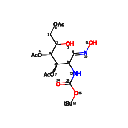 CC(=O)OCC(O)[C@@H](OC(C)=O)[C@H](OC(C)=O)C(/C=N/O)NC(=O)OC(C)(C)C